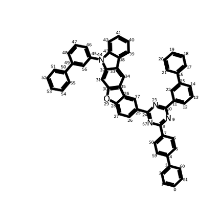 c1ccc(-c2ccc(-c3nc(-c4cccc(-c5ccccc5)c4)nc(-c4ccc5oc6cc7c(cc6c5c4)c4ccccc4n7-c4cccc(-c5ccccc5)c4)n3)cc2)cc1